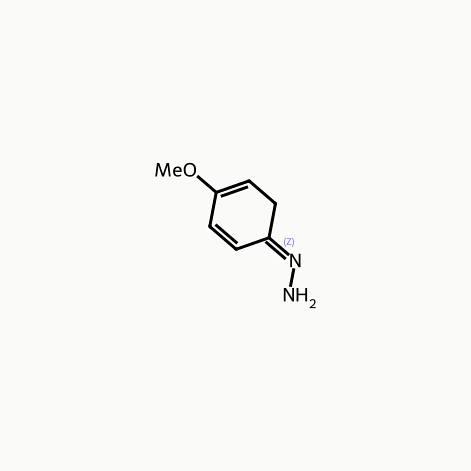 COC1=CC/C(=N/N)C=C1